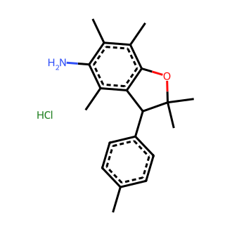 Cc1ccc(C2c3c(C)c(N)c(C)c(C)c3OC2(C)C)cc1.Cl